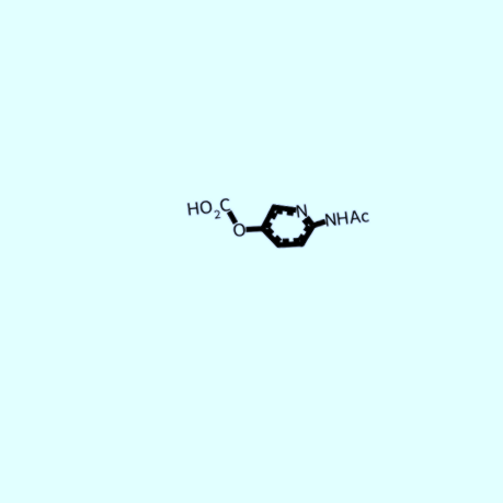 CC(=O)Nc1ccc(OC(=O)O)cn1